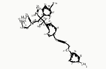 Cc1ccc(OCC#Cc2ccc(C(F)(F)C(CN(N)/C=N\N)(N=O)c3ccc(F)cc3F)nc2)cc1